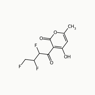 Cc1cc(O)c(C(=O)C(F)C(F)CF)c(=O)o1